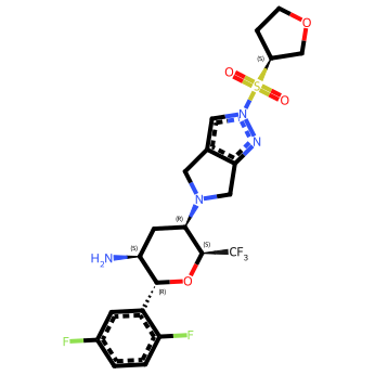 N[C@H]1C[C@@H](N2Cc3cn(S(=O)(=O)[C@H]4CCOC4)nc3C2)[C@@H](C(F)(F)F)O[C@@H]1c1cc(F)ccc1F